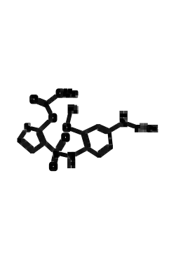 CCCCCCNc1ccc(NS(=O)(=O)c2ccsc2OC(=O)OC)c(OCC)c1